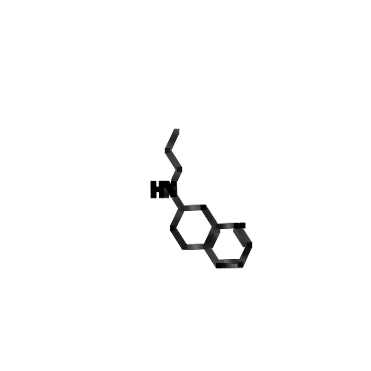 CCCNC1CCc2ccc[c]c2C1